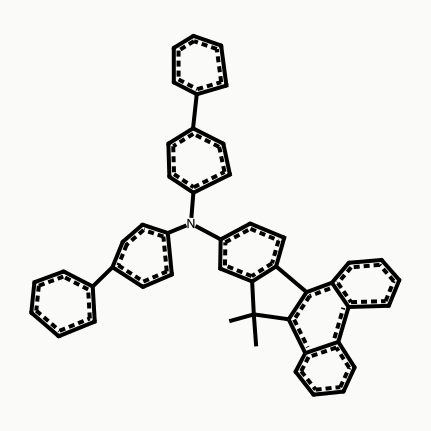 CC1(C)c2cc(N(c3ccc(-c4ccccc4)cc3)c3ccc(-c4ccccc4)cc3)ccc2-c2c1c1ccccc1c1ccccc21